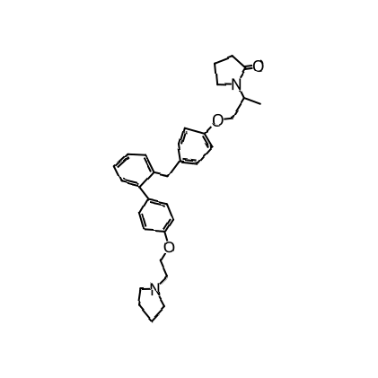 CC(COc1ccc(Cc2ccccc2-c2ccc(OCCN3CCCC3)cc2)cc1)N1CCCC1=O